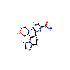 Cc1cnc2ccc(-c3nc(C(N)=O)cnc3N3CCOCC3)cn12